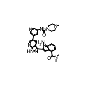 CN1CCN(C(=O)Nc2cncc(-c3cnc4[nH]nc(-c5cc6c(C(=O)N(C)C)cccc6n5N)c4c3)c2)CC1